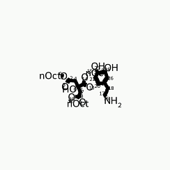 CCCCCCCCOC(=O)CC(O)(CC(=O)OCCCCCCCC)C(=O)OCCCCCCCC.NCCc1ccc(O)c(O)c1